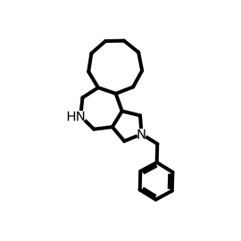 c1ccc(CN2CC3CNCC4CCCCCCCC4C3C2)cc1